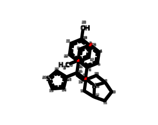 Cc1ccccc1CN1C2CCC1CC(=C(c1ccc(O)cc1)c1ccsc1)C2